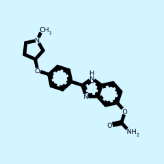 CN1CCC(Oc2ccc(-c3nc4cc(OC(N)=O)ccc4[nH]3)cc2)C1